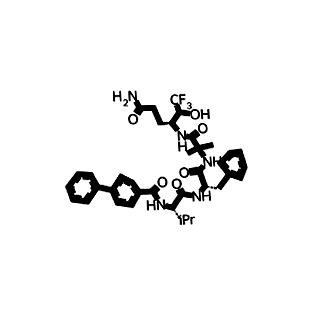 CC(C)[C@H](NC(=O)c1ccc(-c2ccccc2)cc1)C(=O)N[C@@H](Cc1ccccc1)C(=O)NC(C)(C)C(=O)N[C@@H](CCC(N)=O)C(O)C(F)(F)F